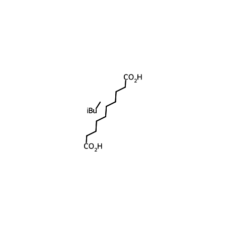 CCC(C)C.O=C(O)CCCCCCCCC(=O)O